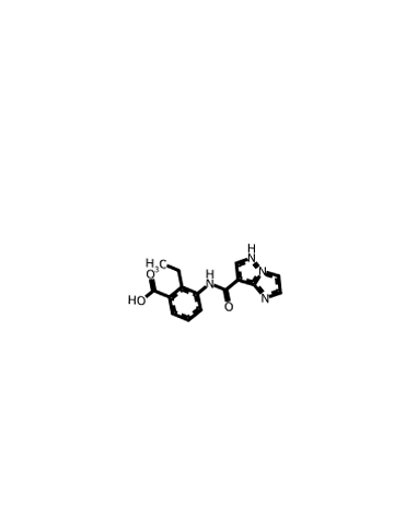 CCc1c(NC(=O)c2c[nH]n3ccnc23)cccc1C(=O)O